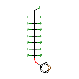 FCC(F)(F)C(F)(F)C(F)(F)C(F)(F)C(F)(F)C(F)(F)C(F)(F)Oc1ccsc1